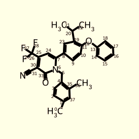 Cc1ccc(Cn2c(-c3ccc(Oc4ccccc4)c(C(C)C)c3)cc(C(F)(F)F)c(C#N)c2=O)c(C)c1